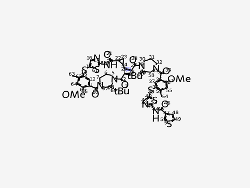 C=CC(=O)N1CCCN(C(=O)c2cc(Sc3cnc(NC(=O)C4CC4/C=C\C(=O)N4CCCN(C(=O)c5cc(Sc6cnc(NC(=O)c7ccsc7)s6)c(C)cc5OC)C[C@H]4C(C)(C)C)s3)c(C)cc2OC)C[C@H]1C(C)(C)C